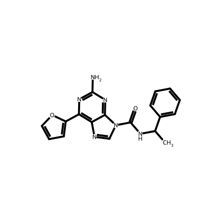 CC(NC(=O)n1cnc2c(-c3ccco3)nc(N)nc21)c1ccccc1